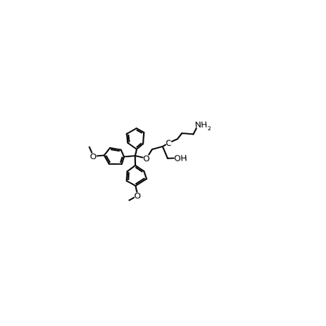 COc1ccc(C(OCC(CO)CCCCN)(c2ccccc2)c2ccc(OC)cc2)cc1